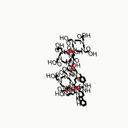 CNC(=O)[C@H](Cc1cnc[nH]1)NC(=O)/C(=C\c1c[nH]c2ccccc12)NC(=S)Nc1ccc(C[C@@H](CN(CCNC(=O)CC[C@@H](C(=O)O)N2CCN(CC(=O)O)CCN(CC(=O)O)CCN(CC(=O)O)CC2)C(=O)CC[C@@H](C(=O)O)N2CCN(CC(=O)O)CCN(CC(=O)O)CCN(CC(=O)O)CC2)NC(=O)CC[C@@H](C(=O)O)N2CCN(CC(=O)O)CCN(CC(=O)O)CCN(CC(=O)O)CC2)cc1